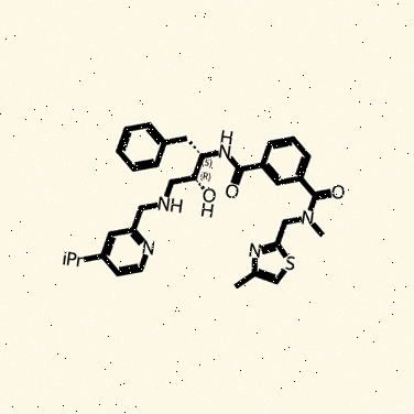 Cc1csc(CN(C)C(=O)c2cccc(C(=O)N[C@@H](Cc3ccccc3)[C@H](O)CNCc3cc(C(C)C)ccn3)c2)n1